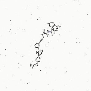 Cc1ccc(C(C)C)c(N2C(=O)CS/C2=N\C(=O)NC(C)CC#Cc2cccc(-c3ncn(-c4ccc(OC(F)(F)F)cc4)n3)c2)c1